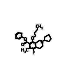 CCCCOc1c2c(c(F)c(C)c1C(=O)Oc1ccccc1)CCN(C1CCCC1)C2